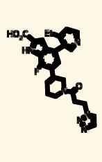 CCc1ccncc1-c1cc(C2=CCCN(C(=O)CCn3ccnn3)C2)c(F)c2[nH]c(C(=O)O)cc12